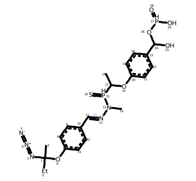 CCC(C)(N=[N+]=[N-])Oc1ccc(/C=N/N(C)[PH](=S)C(C)Oc2ccc(C(O)O[PH](=O)O)cc2)cc1